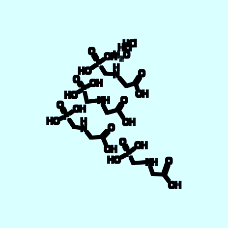 Cl.Cl.O.O=C(O)CNCP(=O)(O)O.O=C(O)CNCP(=O)(O)O.O=C(O)CNCP(=O)(O)O.O=C(O)CNCP(=O)(O)O